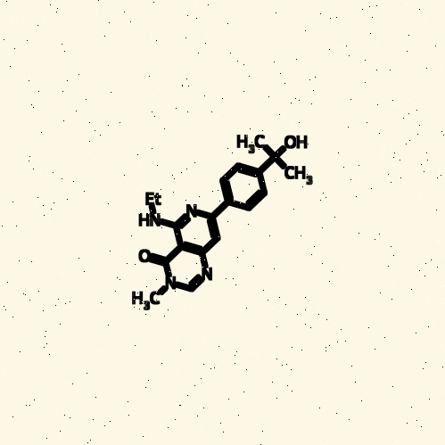 CCNc1nc(-c2ccc(C(C)(C)O)cc2)cc2ncn(C)c(=O)c12